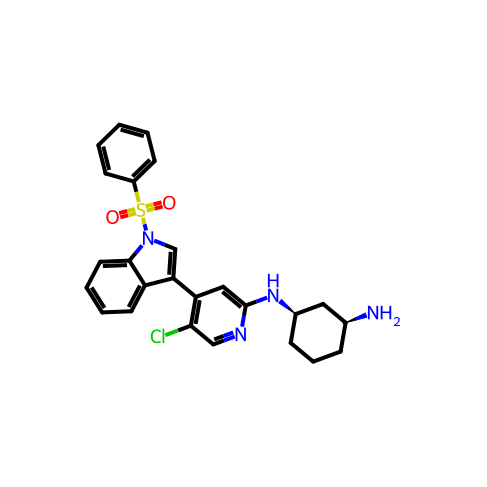 N[C@H]1CCC[C@@H](Nc2cc(-c3cn(S(=O)(=O)c4ccccc4)c4ccccc34)c(Cl)cn2)C1